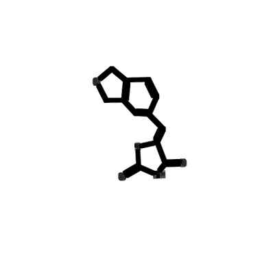 O=C1NC(=O)C(=Cc2ccc3c(c2)COC3)S1